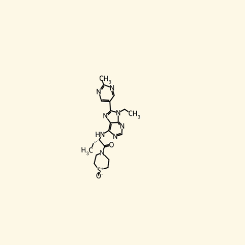 CC[C@H](Nc1ncnc2c1nc(-c1cnc(C)nc1)n2CC)C(=O)N1CC[S+]([O-])CC1